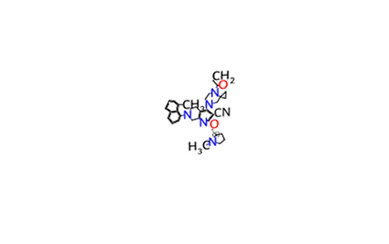 C=CC(=O)N1CCN(c2c(C#N)c(OC[C@@H]3CCCN3C)nc3c2CCN(c2cccc4cccc(C)c24)C3)CC12CC2